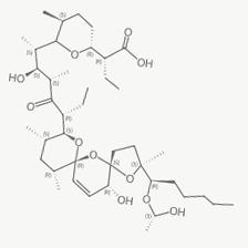 CCCCC[C@@H](O[C@@H](C)O)[C@]1(C)CC[C@@]2(O[C@]3(C=C[C@H]2O)O[C@H]([C@@H](CC)C(=O)[C@@H](C)[C@@H](O)[C@H](C)C2O[C@@H]([C@@H](CC)C(=O)O)CC[C@@H]2C)[C@@H](C)C[C@H]3C)O1